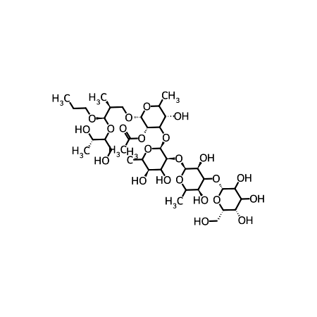 CCCO[C@H](OC(CO)[C@H](C)O)[C@@H](C)CO[C@@H]1OC(C)[C@H](O)C(O[C@@H]2OC(C)[C@H](O)C(O)[C@@H]2O[C@@H]2OC(C)[C@H](O)C(O[C@H]3O[C@@H](CO)[C@@H](O)C(O)C3O)[C@@H]2O)[C@@H]1OC(C)=O